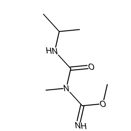 COC(=N)N(C)C(=O)NC(C)C